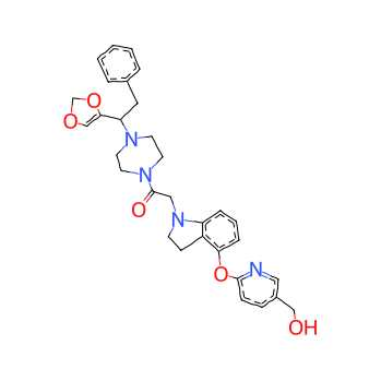 O=C(CN1CCc2c(Oc3ccc(CO)cn3)cccc21)N1CCN(C(Cc2ccccc2)C2=COCO2)CC1